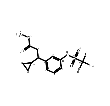 COC(=O)CC(c1cccc(OS(=O)(=O)C(F)(F)F)c1)C1CC1